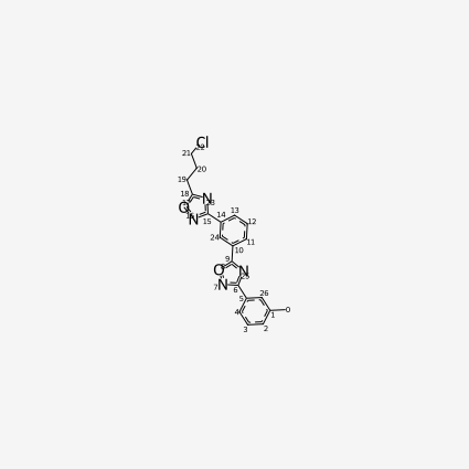 Cc1cccc(-c2noc(-c3cccc(-c4noc(CCCCl)n4)c3)n2)c1